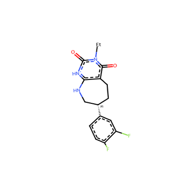 CCn1c(=O)[nH]c2c(c1=O)CC[C@H](c1ccc(F)c(F)c1)CN2